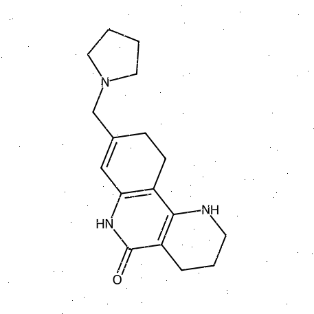 O=c1[nH]c2c(c3c1CCCN3)CCC(CN1CCCC1)=C2